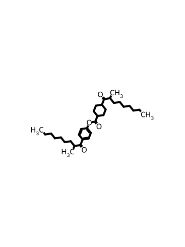 CCCCCCCC(C)C(=O)c1ccc(OC(=O)C2CCC(C(=O)C(C)CCCCCCC)CC2)cc1